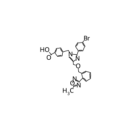 Cc1nc(-c2ccccc2COCc2cn(Cc3ccc(C(=O)O)cc3)c(-c3ccc(Br)cc3)n2)no1